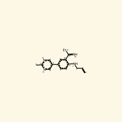 C=CCNc1ccc(-c2cnc(C)nc2)cc1C(=N)CC